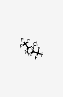 FC(F)(F)c1nnc(C(F)(F)F)n1Cl